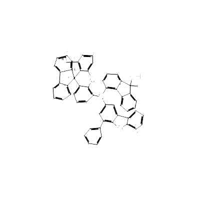 CC1(C)c2ccccc2-c2c(N(c3cc(-c4ccccc4)c4oc5ccccc5c4c3)c3cccc4c3Oc3cccc(Cl)c3C43c4ccccc4-c4ccccc43)cccc21